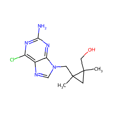 CC1(CO)CC1(C)Cn1cnc2c(Cl)nc(N)nc21